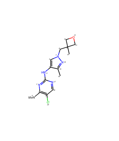 CNc1nc(Nc2cn(CC3(C)COC3)nc2C)ncc1Cl